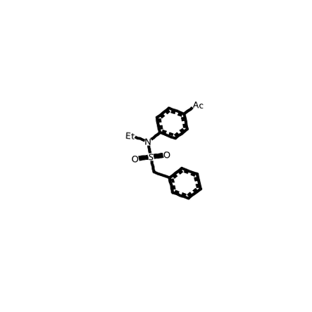 CCN(c1ccc(C(C)=O)cc1)S(=O)(=O)Cc1ccccc1